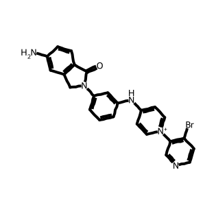 Nc1ccc2c(c1)CN(c1cccc(Nc3cc[n+](-c4cnccc4Br)cc3)c1)C2=O